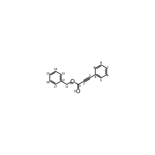 O=C(C#Cc1ccccc1)OCc1ccccc1